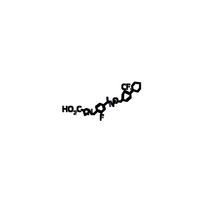 C/C(=N\OCc1ccc(C2CCCCC2)c(C(F)(F)F)c1)c1ccc(CN2CC(C(=O)O)C2)c(F)c1